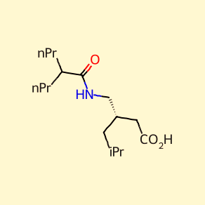 CCCC(CCC)C(=O)NC[C@H](CC(=O)O)CC(C)C